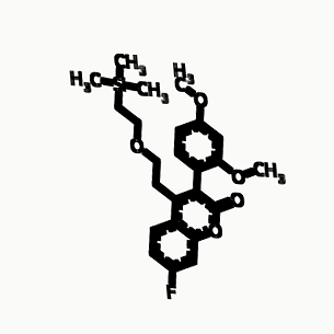 COc1ccc(-c2c(CCOCC[Si](C)(C)C)c3ccc(F)cc3oc2=O)c(OC)c1